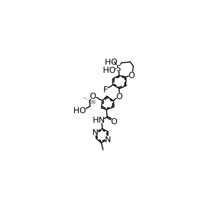 Cc1cnc(NC(=O)c2cc(Oc3cc4c(cc3F)S(O)(O)CCCO4)cc(O[C@@H](C)CO)c2)cn1